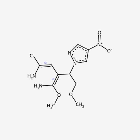 COCC(C(/C=C(\N)Cl)=C(/N)OC)n1cc([N+](=O)[O-])cn1